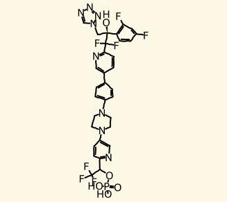 O=P(O)(O)OC(c1ccc(N2CCN(c3ccc(-c4ccc(C(F)(F)[C@](O)(Cn5cnnn5)c5ccc(F)cc5F)nc4)cc3)CC2)cn1)C(F)(F)F